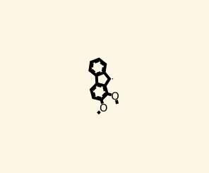 COc1ccc2c(c1OC)[CH]c1ccccc1-2